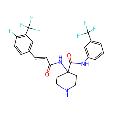 O=C(C=Cc1ccc(F)c(C(F)(F)F)c1)NC1(C(=O)Nc2cccc(C(F)(F)F)c2)CCNCC1